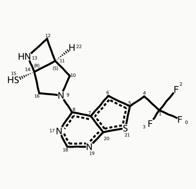 FC(F)(F)Cc1cc2c(N3C[C@@H]4CN[C@]4(S)C3)ncnc2s1